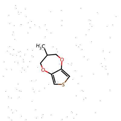 CC1COc2cscc2OC1